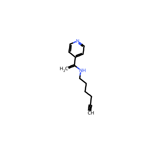 C#CCCCCNC(=C)c1ccncc1